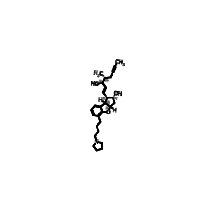 CC#CC[C@@H](C)[C@H](O)C=C[C@@H]1[C@H]2c3cccc(CCCCN4CCCC4)c3O[C@H]2C[C@H]1O